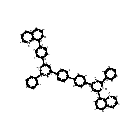 c1ccc(-c2nc(-c3ccc(-c4ccc(-c5cc(-c6cccc7cccnc67)nc(-c6ccccc6)n5)cc4)cc3)cc(-c3ccc(-c4cccc5cccnc45)cc3)n2)cc1